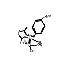 COc1ccc([SH](C)(C(F)F)(C(F)F)S(C)(C)C)cc1